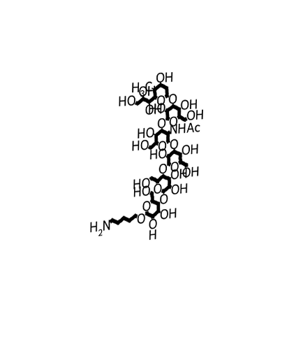 CC(=O)NC1[C@H](O[C@@H]2C(O)[C@@H](O[C@H]3C(CO)O[C@@H](O[C@@H]4C(CO)O[C@@H](OCCCCCN)C(O)[C@@H]4O)C(O)[C@H]3O)OC(CO)[C@@H]2O)OC(CO)[C@H](O)[C@@H]1O[C@@H]1OC(CO)[C@H](O)[C@H](O[C@@H]2C[C@@H](O)[C@@H](C)C([C@H](O)[C@H](O)CO)O2)C1O